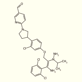 CC(C)N(N)/C(COc1ccc(C2CCN(c3ccc(C=O)cn3)C2)c(Cl)c1)=C(\N)c1c(Cl)cccc1Cl